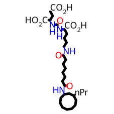 CCCC1CCCCCCCC(NC(=O)CCCCCCC(=O)NCCCCC(NC(=O)NC(CCC(=O)O)C(=O)O)C(=O)O)C1